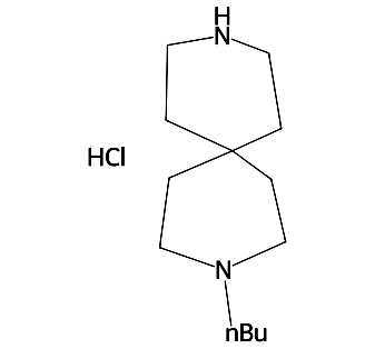 CCCCN1CCC2(CCNCC2)CC1.Cl